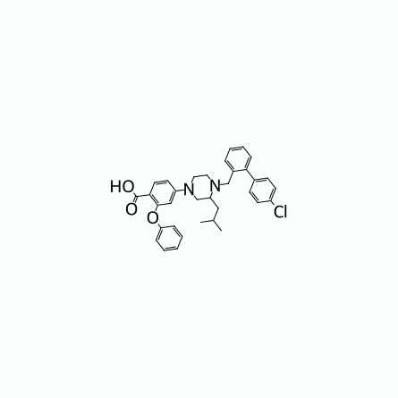 CC(C)CC1CN(c2ccc(C(=O)O)c(Oc3ccccc3)c2)CCN1Cc1ccccc1-c1ccc(Cl)cc1